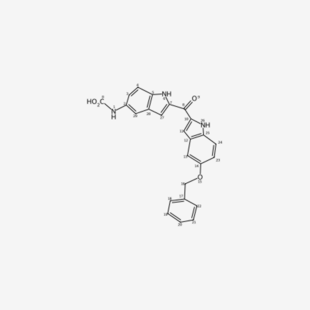 O=C(O)Nc1ccc2[nH]c(C(=O)c3cc4cc(OCc5ccccc5)ccc4[nH]3)cc2c1